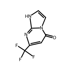 O=c1cc(C(F)(F)F)nc2[nH]ccn12